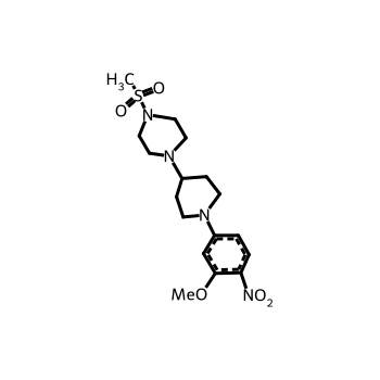 COc1cc(N2CCC(N3CCN(S(C)(=O)=O)CC3)CC2)ccc1[N+](=O)[O-]